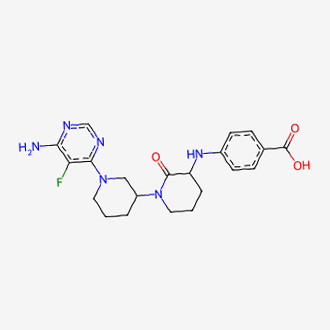 Nc1ncnc(N2CCCC(N3CCCC(Nc4ccc(C(=O)O)cc4)C3=O)C2)c1F